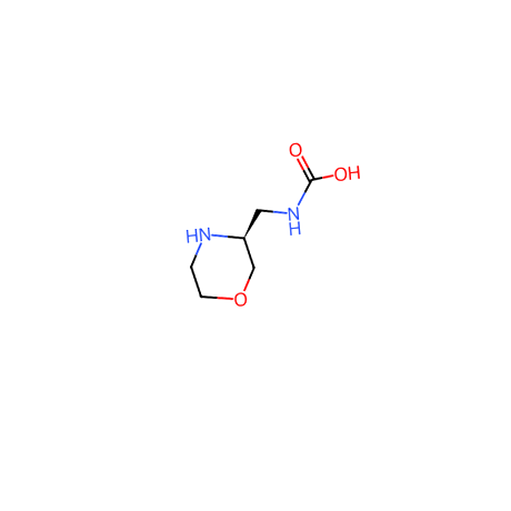 O=C(O)NC[C@H]1COCCN1